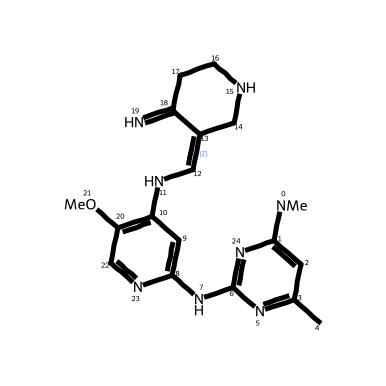 CNc1cc(C)nc(Nc2cc(N/C=C3/CNCCC3=N)c(OC)cn2)n1